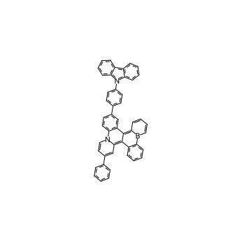 C1=CB2C(=C3C(=C4C=C(c5ccccc5)C=CN4c4ccc(-c5ccc(-n6c7ccccc7c7ccccc76)cc5)cc43)c3ccccc32)C=C1